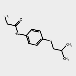 CCC(=O)Nc1ccc(OCC(C)C)cc1